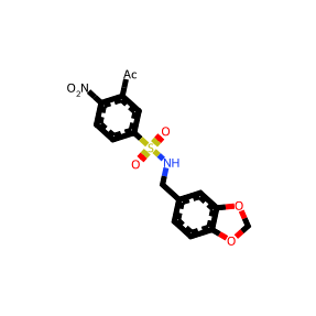 CC(=O)c1cc(S(=O)(=O)NCc2ccc3c(c2)OCO3)ccc1[N+](=O)[O-]